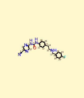 N#Cc1cnc(NC(=O)Nc2ccc(CCNCc3ccc(F)cc3)cc2)cn1